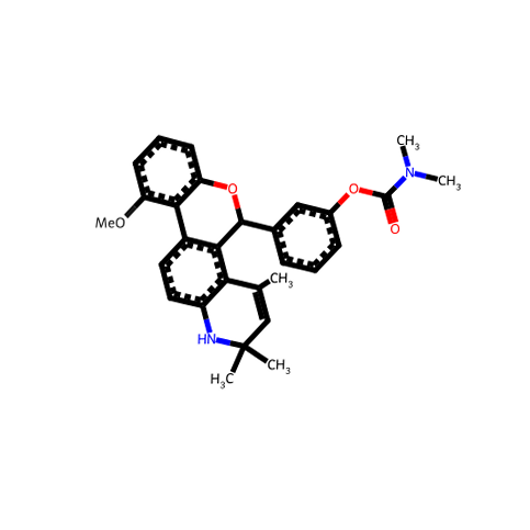 COc1cccc2c1-c1ccc3c(c1C(c1cccc(OC(=O)N(C)C)c1)O2)C(C)=CC(C)(C)N3